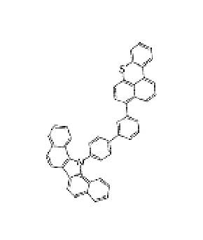 c1cc(-c2ccc(-n3c4c5ccccc5ccc4c4ccc5ccccc5c43)cc2)cc(-c2ccc3c4c(cccc24)-c2ccccc2S3)c1